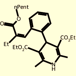 CCCCCOC(=O)C(=Cc1ccccc1C1C(C(=O)OCC)=C(C)NC(C)=C1C(=O)OCC)CC